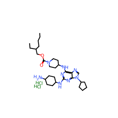 CCCCC(CC)COC(=O)N1CCC(Nc2nc(NC3CCC(N)CC3)nc3c2ncn3C2CCCC2)CC1.Cl.Cl